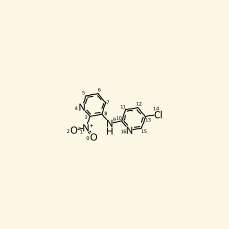 O=[N+]([O-])c1ncccc1Nc1ccc(Cl)cn1